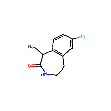 CC1C(=O)NCCc2cc(Cl)ccc21